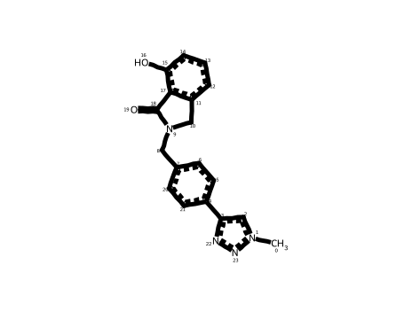 Cn1cc(-c2ccc(CN3Cc4cccc(O)c4C3=O)cc2)nn1